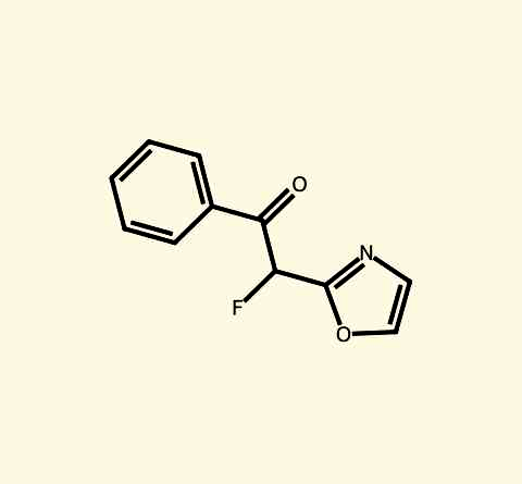 O=C(c1ccccc1)C(F)c1ncco1